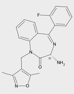 Cc1noc(C)c1CN1C(=O)[C@@H](N)N=C(c2ccccc2F)c2ccccc21